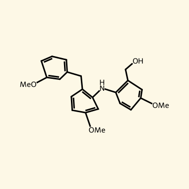 COc1cccc(Cc2ccc(OC)cc2Nc2ccc(OC)cc2CO)c1